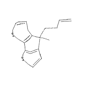 C=CCCC1(C)c2ccsc2-c2sccc21